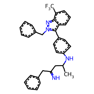 CC(CC(=N)Cc1ccccc1)Nc1ccc(-c2c3cccc(C(F)(F)F)c3nn2Cc2ccccc2)cc1